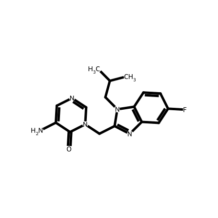 CC(C)Cn1c(Cn2cncc(N)c2=O)nc2cc(F)ccc21